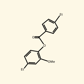 CCc1ccc(C(=O)Oc2ccc(CC)cc2OC)cc1